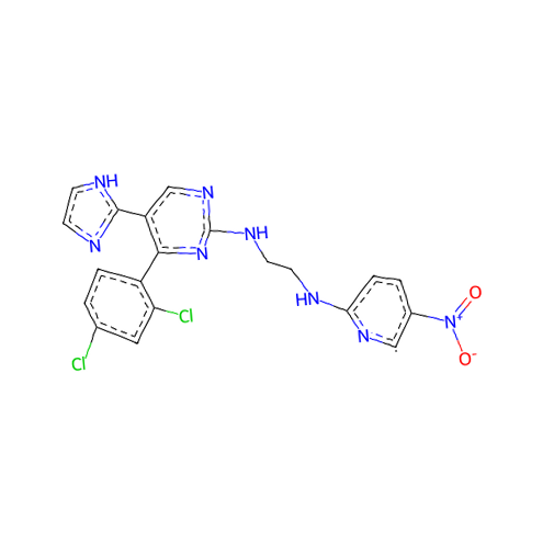 O=[N+]([O-])c1[c]nc(NCCNc2ncc(-c3ncc[nH]3)c(-c3ccc(Cl)cc3Cl)n2)cc1